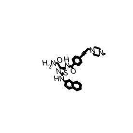 CN1CCN(CC#Cc2ccc(C(=O)Nc3sc(Nc4ccc5ccccc5c4)nc3C(N)=O)cc2)CC1